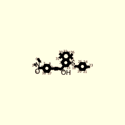 CCN(C)C(=O)c1ccc(C#CC(O)c2cc(SCc3ccc(C)cc3)c3c(c2)C(C)(C)CCC3(C)C)cc1